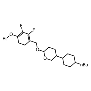 CCCCC1CCC(C2CCC(OCC3=C(F)C(F)=C(OCC)CC3)OC2)CC1